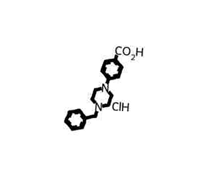 Cl.O=C(O)c1ccc(N2CCN(Cc3ccccc3)CC2)cc1